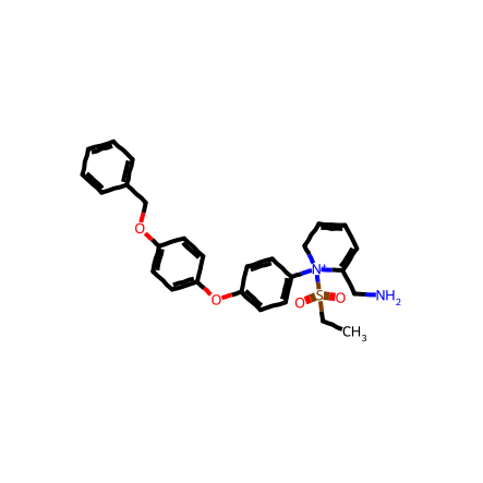 CCS(=O)(=O)[N+]1(c2ccc(Oc3ccc(OCc4ccccc4)cc3)cc2)CC=CC=C1CN